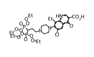 CCOOP(=O)(OOCC)C(CCN1CCN(c2c(Cl)cc3c(=O)c(C(=O)O)c[nH]c3c2CC)CC1)P(=O)(OOCC)OOCC